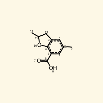 Cc1cc2c(c(C(=O)O)c1)OC(C)C2